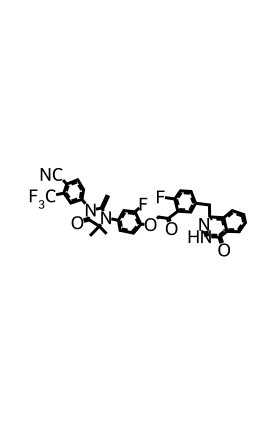 C=C1N(c2ccc(C#N)c(C(F)(F)F)c2)C(=O)C(C)(C)N1c1ccc(OCC(=O)c2cc(Cc3n[nH]c(=O)c4ccccc34)ccc2F)c(F)c1